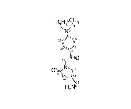 CCN(CC)c1ccc(C(=O)CN2C[C@@H](CN)OC2=O)cc1